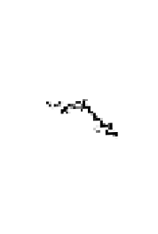 C#CCNC(=O)CCCCCC(C)(C)OCCC(C)(C)OC